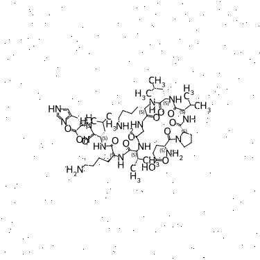 CC(C)C[C@H](NC(=O)[C@H](CCCCN)NC(=O)[C@@H](NC(=O)CNC(=O)[C@H](CCCCN)NC(=O)[C@H](CC(C)C)NC(=O)[C@@H](NC(=O)[C@@H]1CCCN1C(=O)[C@@H](N)CCC(=O)O)C(C)C)C(C)C)C(=O)N[C@@H](Cc1c[nH]cn1)C(=O)O